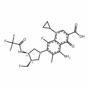 Nc1c(F)c(N2C[C@@H](CF)[C@@H](NC(=O)C(F)(F)F)C2)c(F)c2c1c(=O)c(C(=O)O)cn2C1CC1